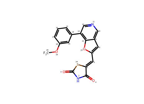 O=C1NC(=O)C(=Cc2cc3cncc(-c4cccc(OC(F)(F)F)c4)c3o2)S1